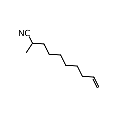 C=CCCCCCCC(C)C#N